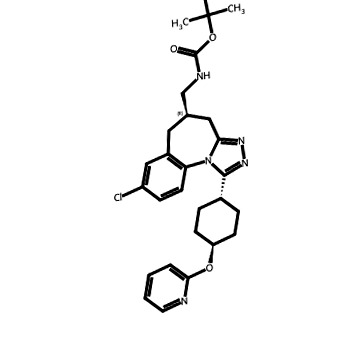 CC(C)(C)OC(=O)NC[C@@H]1Cc2cc(Cl)ccc2-n2c(nnc2[C@H]2CC[C@H](Oc3ccccn3)CC2)C1